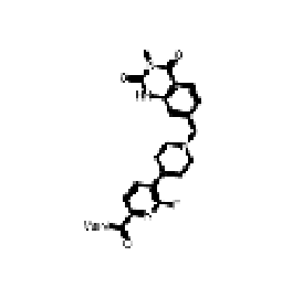 CNC(=O)c1ccc(C2CCN(Cc3ccc4c(=O)n(C)c(=O)[nH]c4c3)CC2)c(F)n1